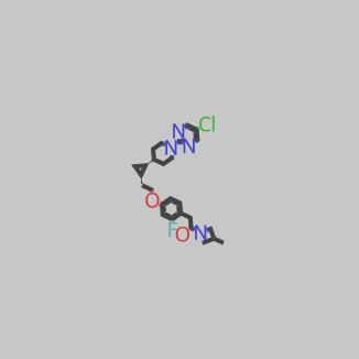 CC1CN(C(=O)Cc2ccc(OCC[C@@H]3C[C@@H]3C3CCN(c4ncc(Cl)cn4)CC3)cc2F)C1